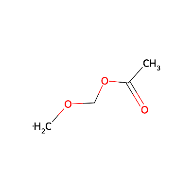 [CH2]OCOC(C)=O